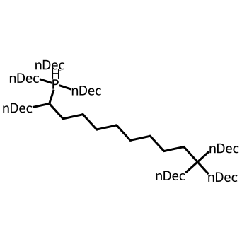 CCCCCCCCCCC(CCCCCCCCC(CCCCCCCCCC)(CCCCCCCCCC)CCCCCCCCCC)[PH](CCCCCCCCCC)(CCCCCCCCCC)CCCCCCCCCC